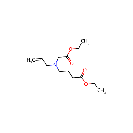 C=CCN(CCCC(=O)OCC)CC(=O)OCC